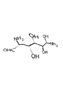 NC(O)[C@@H](O)[C@@H](O)[C@H](O)[C@@H](N)C=O